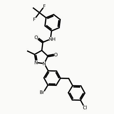 CC1=NN(c2cc(Br)cc(Cc3ccc(Cl)cc3)c2)C(=O)C1C(=O)Nc1cccc(C(C)(F)F)c1